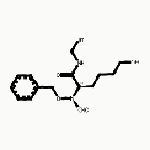 CC(C)CNC(=O)[C@@H](CCCCO)N(C=O)OCc1ccccc1